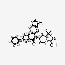 Cn1cnc(Cn2c(=O)n(C3CCN(C(=O)O)C(C(C)(C)C)C3)c(=O)c3sc(-c4ccccc4)cc32)n1